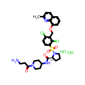 Cc1ccc2cccc(OCc3c(Cl)ccc(S(=O)(=O)N4CCC[C@H]4C(=O)NC4CCN(C(=O)CCN)CC4)c3Cl)c2n1.Cl.Cl